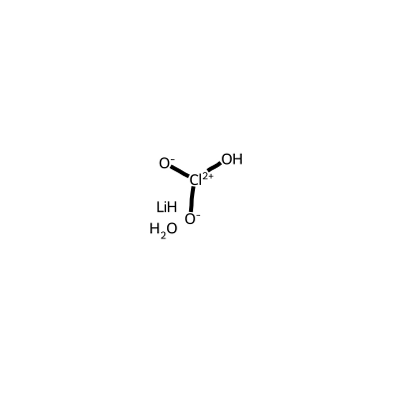 O.[LiH].[O-][Cl+2]([O-])O